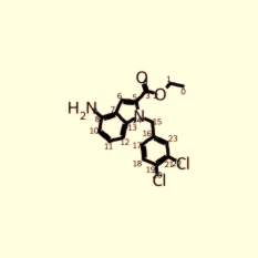 CCOC(=O)c1cc2c(N)cccc2n1Cc1ccc(Cl)c(Cl)c1